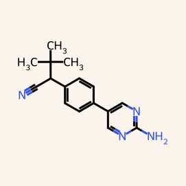 CC(C)(C)C(C#N)c1ccc(-c2cnc(N)nc2)cc1